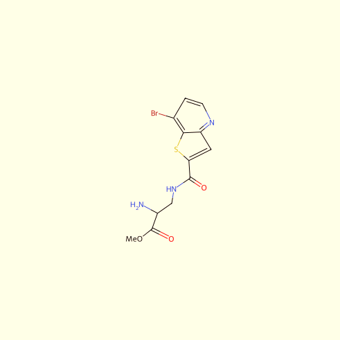 COC(=O)C(N)CNC(=O)c1cc2nccc(Br)c2s1